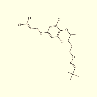 CC(CCCON=CC(C)(C)C)Oc1c(Cl)cc(OCC=C(Cl)Cl)cc1Cl